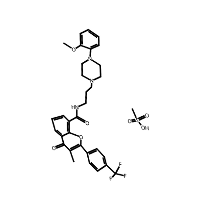 COc1ccccc1N1CCN(CCCNC(=O)c2cccc3c(=O)c(C)c(-c4ccc(C(F)(F)F)cc4)oc23)CC1.CS(=O)(=O)O